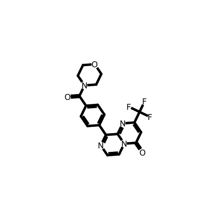 O=C(c1ccc(-c2nccn3c(=O)cc(C(F)(F)F)nc23)cc1)N1CCOCC1